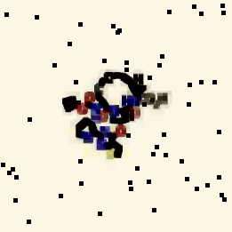 O=C(N[C@H]1CCCCCC=C[C@@H]2C[C@@]2(C(=O)O)NC(=O)[C@@H]2C[C@@H](Oc3nc(-c4ccccn4)nc4sccc34)CN2C1=O)OC1CCC1